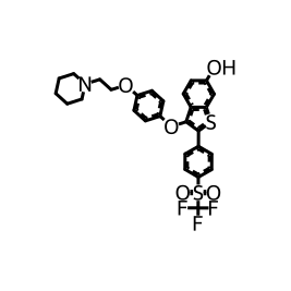 O=S(=O)(c1ccc(-c2sc3cc(O)ccc3c2Oc2ccc(OCCN3CCCCC3)cc2)cc1)C(F)(F)F